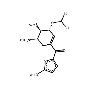 CCC(CC)O[C@@H]1C=C(C(=O)c2ccc(OC)s2)C[C@H](N)[C@H]1NC(C)=O.Cl